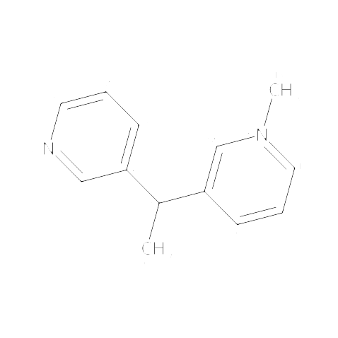 CC(c1cccnc1)c1ccc[n+](C)c1